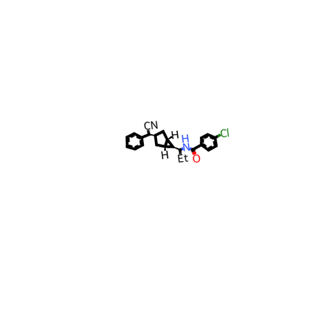 CCC(NC(=O)c1ccc(Cl)cc1)[C@H]1[C@@H]2C[C@@H](C(C#N)c3ccccc3)C[C@@H]21